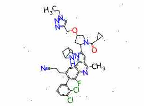 CCn1cc(COC2CC(c3cc4c(C)nc5c(F)c(-c6cccc(Cl)c6Cl)c(CCC#N)cc5c4n3C3C4CNC3C4)N(C(=O)C3CC3)C2)nn1